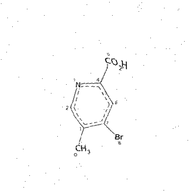 Cc1cnc(C(=O)O)cc1Br